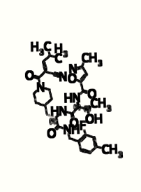 Cc1ccc(CNC(=O)[C@H](CC2CCN(C(=O)C(C#N)=CC(C)C)CC2)NC(=O)[C@@H](NC(=O)c2cc(C)no2)[C@@H](C)O)c(F)c1